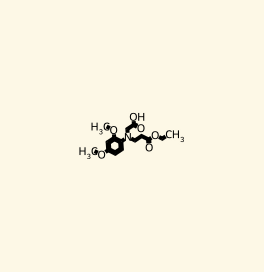 CCOC(=O)CCN(CC(=O)O)c1ccc(OC)cc1OC